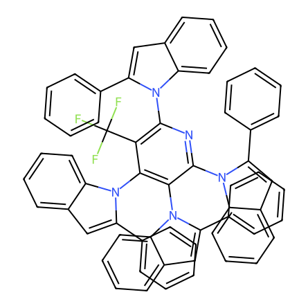 FC(F)(F)c1c(-n2c(-c3ccccc3)cc3ccccc32)nc(-n2c(-c3ccccc3)cc3ccccc32)c(-n2c(-c3ccccc3)cc3ccccc32)c1-n1c(-c2ccccc2)cc2ccccc21